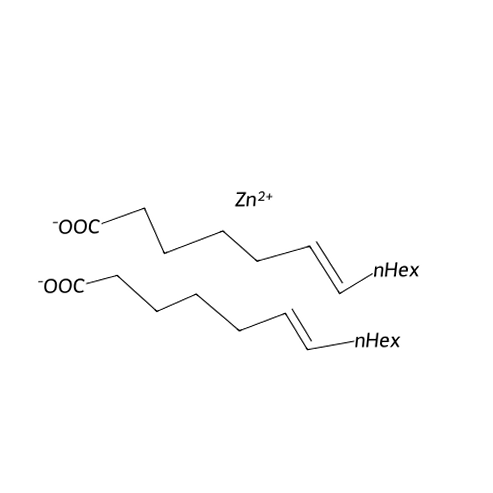 CCCCCCC=CCCCCC(=O)[O-].CCCCCCC=CCCCCC(=O)[O-].[Zn+2]